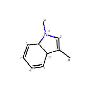 CC1=CN(C)C2C=CC=CC12